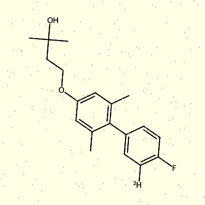 [2H]c1cc(-c2c(C)cc(OCCC(C)(C)O)cc2C)ccc1F